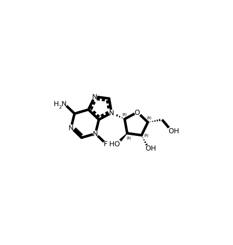 NC1N=CN(F)c2c1ncn2[C@@H]1O[C@H](CO)[C@H](O)[C@H]1O